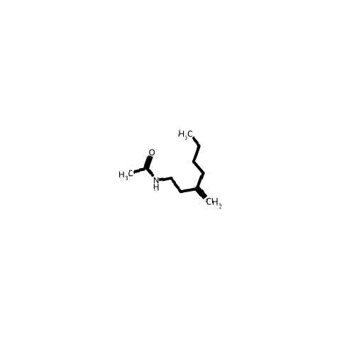 C=C(CCCC)CCNC(C)=O